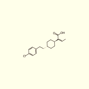 CC=C(C(=O)O)[C@H]1CC[C@H](CCc2ccc(Cl)cc2)CC1